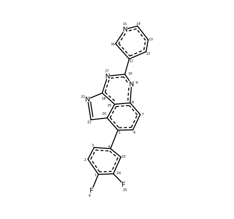 Fc1ccc(-c2ccc3nc(-c4cccnc4)nc4c3c2C=N4)cc1F